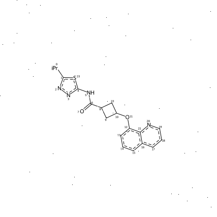 CC(C)c1nnc(NC(=O)C2CC(Oc3cccc4cccnc34)C2)s1